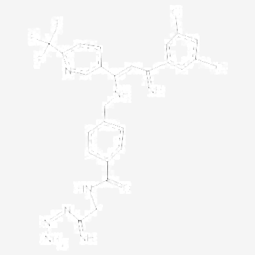 N=C(CNC(=O)c1ccc(CN/C(=C\C(=N)c2cc(Cl)cc(Cl)c2)c2ccc(C(F)(F)F)nc2)cc1)/N=N\N